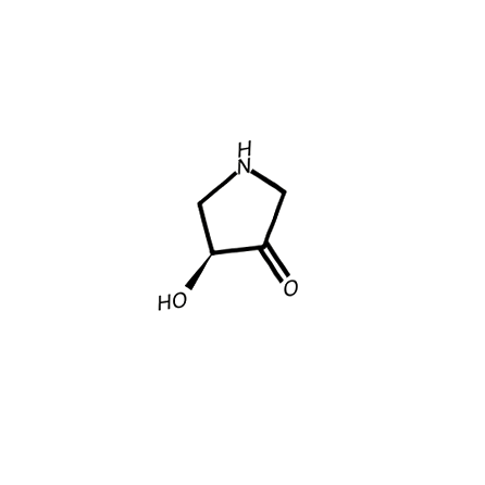 O=C1CNC[C@@H]1O